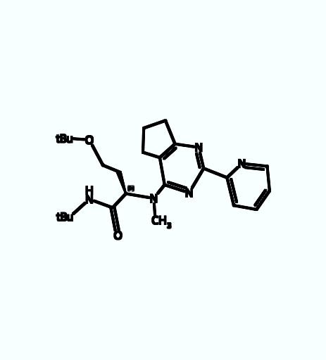 CN(c1nc(-c2ccccn2)nc2c1CCC2)[C@H](CCOC(C)(C)C)C(=O)NC(C)(C)C